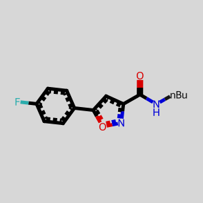 CCCCNC(=O)c1cc(-c2ccc(F)cc2)on1